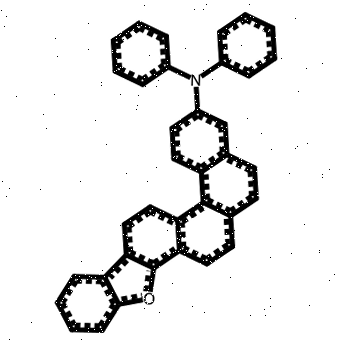 c1ccc(N(c2ccccc2)c2ccc3c(ccc4ccc5c(ccc6c7ccccc7oc65)c43)c2)cc1